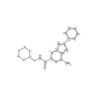 Nc1cc(C(=O)NCC2CCCCC2)cc2nc(-c3ccccn3)nn12